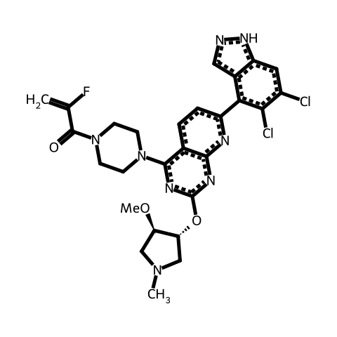 C=C(F)C(=O)N1CCN(c2nc(O[C@@H]3CN(C)C[C@H]3OC)nc3nc(-c4c(Cl)c(Cl)cc5[nH]ncc45)ccc23)CC1